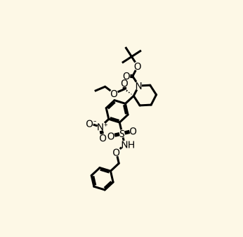 CCOC(=O)[C@@]1(c2ccc([N+](=O)[O-])c(S(=O)(=O)NOCc3ccccc3)c2)CCCCN1C(=O)OC(C)(C)C